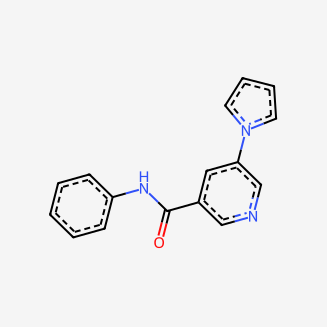 O=C(Nc1ccccc1)c1cncc(-n2cccc2)c1